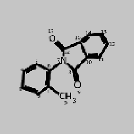 Cc1ccc[c]c1N1C(=O)c2ccccc2C1=O